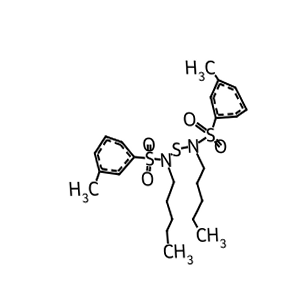 CCCCCN(SN(CCCCC)S(=O)(=O)c1cccc(C)c1)S(=O)(=O)c1cccc(C)c1